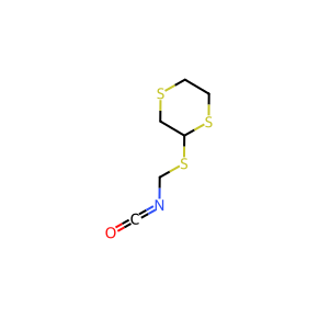 O=C=NCSC1CSCCS1